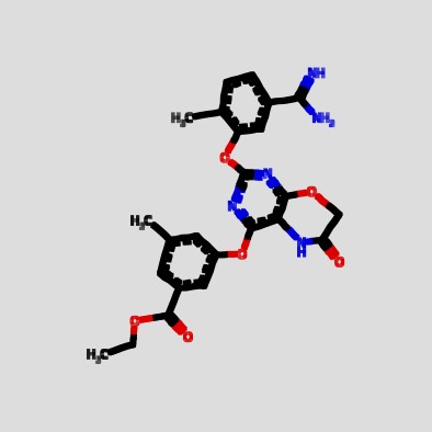 CCOC(=O)c1cc(C)cc(Oc2nc(Oc3cc(C(=N)N)ccc3C)nc3c2NC(=O)CO3)c1